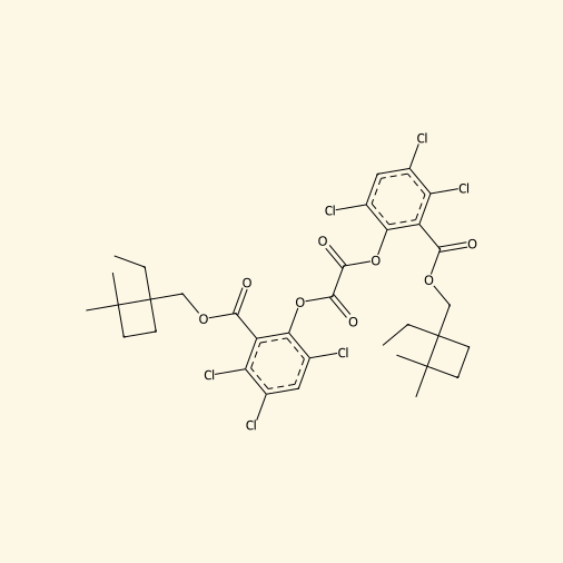 CCC1(COC(=O)c2c(Cl)c(Cl)cc(Cl)c2OC(=O)C(=O)Oc2c(Cl)cc(Cl)c(Cl)c2C(=O)OCC2(CC)CCC2(C)C)CCC1(C)C